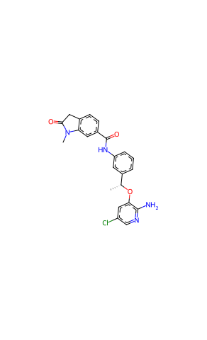 C[C@@H](Oc1cc(Cl)cnc1N)c1cccc(NC(=O)c2ccc3c(c2)N(C)C(=O)C3)c1